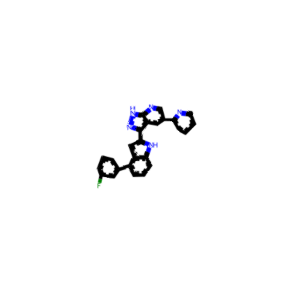 Fc1cccc(-c2cccc3[nH]c(-c4n[nH]c5ncc(-c6ccccn6)cc45)cc23)c1